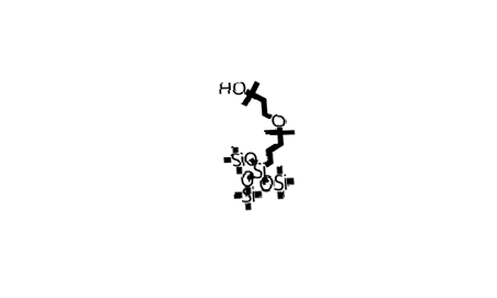 CC(C)(O)CCOC(C)(C)CCC[Si](O[Si](C)(C)C)(O[Si](C)(C)C)O[Si](C)(C)C